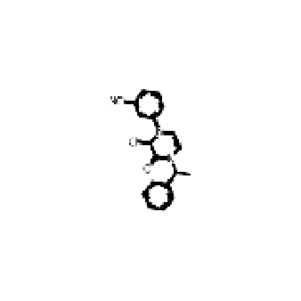 CC(c1ccccc1)N1C=CN(c2cccc(C#N)c2)C(Cl)C1=O